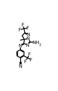 CC12CC(C(F)(F)F)=NN1C(N)=N/C2=N\c1ccc(C#N)c(C(F)(F)F)c1